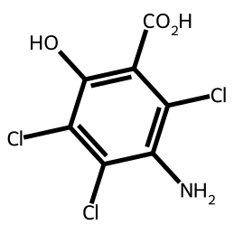 Nc1c(Cl)c(Cl)c(O)c(C(=O)O)c1Cl